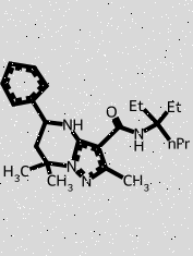 CCCC(CC)(CC)NC(=O)c1c(C)nn2c1NC(c1ccccc1)CC2(C)C